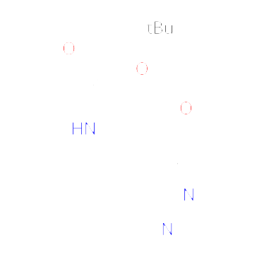 CC(C)(C)OC(=O)NC1=CN=NC1=O